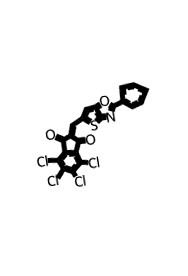 O=C1C(=Cc2cc3oc(-c4ccccc4)nc3s2)C(=O)c2c(Cl)c(Cl)c(Cl)c(Cl)c21